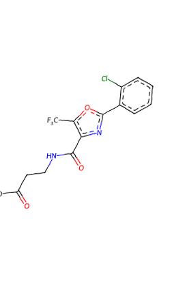 COC(=O)CCNC(=O)c1nc(-c2ccccc2Cl)oc1C(F)(F)F